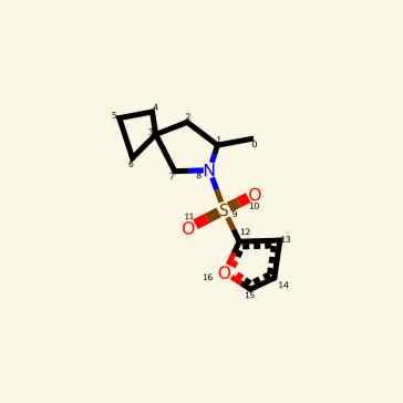 CC1CC2(CCC2)CN1S(=O)(=O)c1ccco1